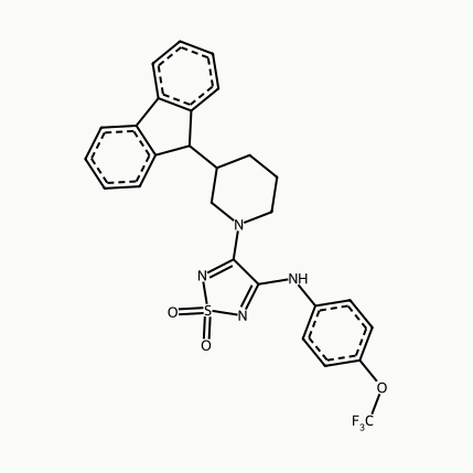 O=S1(=O)N=C(Nc2ccc(OC(F)(F)F)cc2)C(N2CCCC(C3c4ccccc4-c4ccccc43)C2)=N1